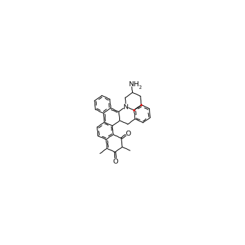 CC1=c2ccc3c(c2C(=O)C(C)C1=O)C(Cc1ccccc1)C(N1CCCC(N)C1)=c1ccccc1=3